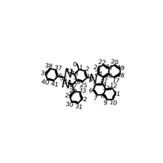 CC1C=C(n2c3ccc4ccccc4c3c3c4ccccc4ccc32)C=C2C(c3ccccc3)=NC(c3ccccc3)=NC21